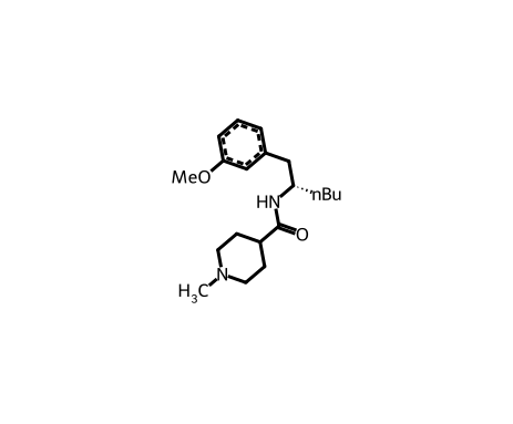 CCCC[C@@H](Cc1cccc(OC)c1)NC(=O)C1CCN(C)CC1